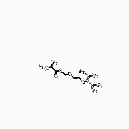 CC(C)C(C)C(=O)SCOCCOP(N(C(C)C)C(C)C)N(C(C)C)C(C)C